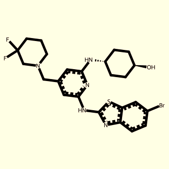 O[C@H]1CC[C@H](Nc2cc(CN3CCCC(F)(F)C3)cc(Nc3nc4ccc(Br)cc4s3)n2)CC1